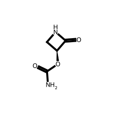 NC(=O)O[C@H]1CNC1=O